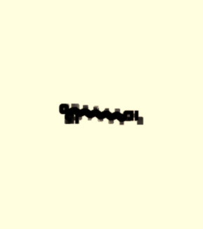 C=CCCCCCCCCCC(=O)S